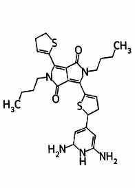 CCCCN1C(=O)C2=C(C3=CCC(C4=CC(N)NC(N)=C4)S3)N(CCCC)C(=O)C2=C1C1=CCCS1